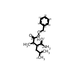 CC(C)CC(C(N)=O)C(C)C(=O)NOCc1ccccc1